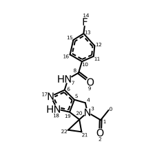 CC(=O)N1Cc2c(NC(=O)c3ccc(F)cc3)n[nH]c2C12CC2